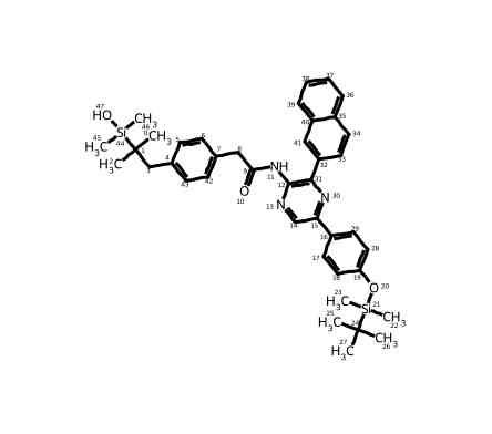 CC(C)(Cc1ccc(CC(=O)Nc2ncc(-c3ccc(O[Si](C)(C)C(C)(C)C)cc3)nc2-c2ccc3ccccc3c2)cc1)[Si](C)(C)O